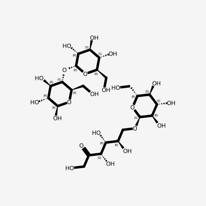 O=C(CO)[C@@H](O)[C@H](O)[C@H](O)CO[C@H]1O[C@H](CO)[C@@H](O)[C@H](O)[C@H]1O.OC[C@H]1O[C@H](O[C@H]2[C@H](O)[C@@H](O)[C@H](O)O[C@@H]2CO)[C@H](O)[C@@H](O)[C@@H]1O